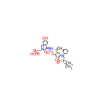 CCCC1(CC)CN(c2ccccc2)c2cc(SC)c(OCC(=O)N[C@@H](C(=O)NCCS(=O)(=O)O)c3ccc(O)cc3)cc2S(=O)(=O)C1